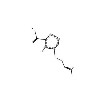 COC(=O)c1cccc(SCC=C(C)C)c1C